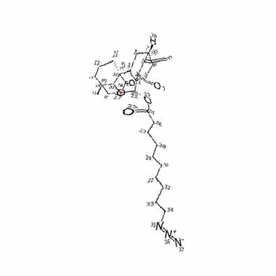 C=C1C(=O)[C@]23CC[C@H]1CC2[C@@]12CCC[C@@](C)(COC1=O)C2C[C@H]3OC(=O)CCCCCCCCCN=[N+]=[N-]